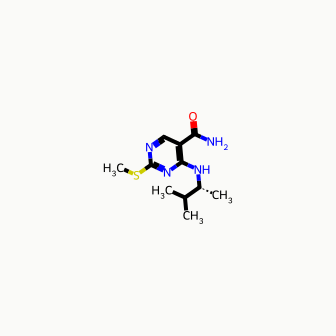 CSc1ncc(C(N)=O)c(N[C@H](C)C(C)C)n1